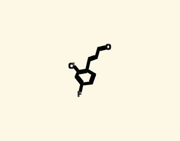 O=CC=Cc1ccc(F)cc1Cl